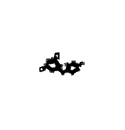 Fc1ccc(Cc2cc(Cl)[c]c(Cl)c2)cc1